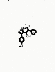 COc1ccc(-c2csc3[nH]c(=O)c(-c4ccccc4)c(O)c23)cc1